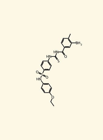 Bc1cc(C(=O)NC(=S)Nc2ccc(S(=O)(=O)Nc3ccc(OCC)cc3)cc2)ccc1C